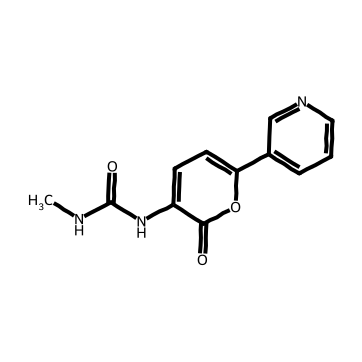 CNC(=O)Nc1ccc(-c2cccnc2)oc1=O